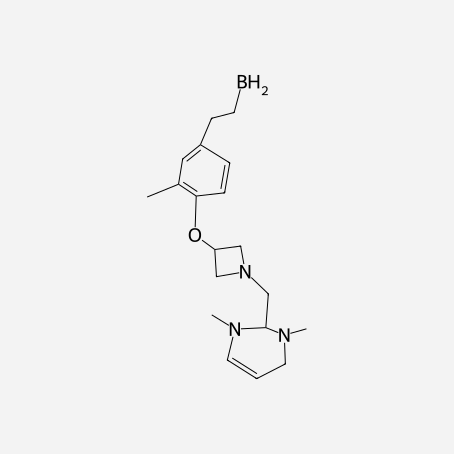 BCCc1ccc(OC2CN(CC3N(C)C=CCN3C)C2)c(C)c1